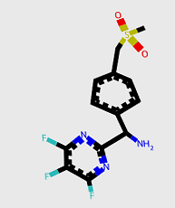 CS(=O)(=O)Cc1ccc(C(N)c2nc(F)c(F)c(F)n2)cc1